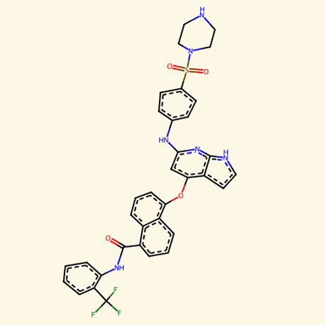 O=C(Nc1ccccc1C(F)(F)F)c1cccc2c(Oc3cc(Nc4ccc(S(=O)(=O)N5CCNCC5)cc4)nc4[nH]ccc34)cccc12